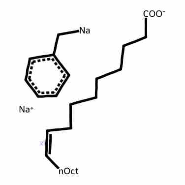 CCCCCCCC/C=C\CCCCCCCC(=O)[O-].[Na+].[Na][CH2]c1ccccc1